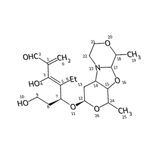 C=C(C=O)/C(O)=C(\CC)[C@H](CCO)O[C@H]1CC2C(OC3C(C)OCCN23)C(C)O1